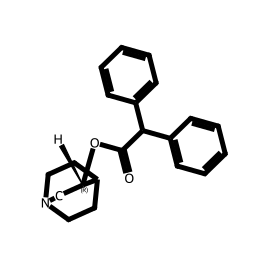 O=C(O[C@H]1CN2CCC1CC2)C(c1ccccc1)c1ccccc1